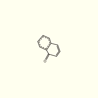 O=C1C=C=Cc2ccccc21